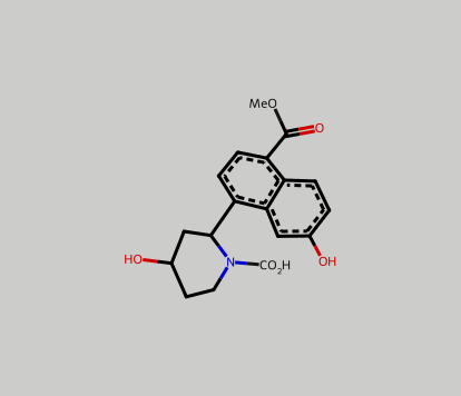 COC(=O)c1ccc(C2CC(O)CCN2C(=O)O)c2cc(O)ccc12